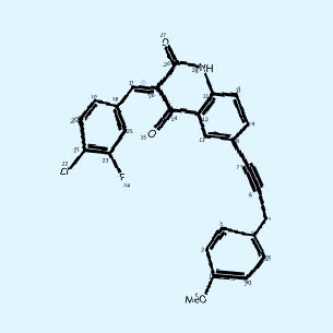 COc1ccc(CC#Cc2ccc3c(c2)C(=O)/C(=C\c2ccc(Cl)c(F)c2)C(=O)N3)cc1